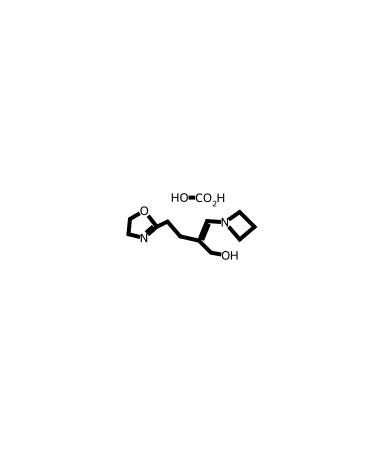 O=C(O)O.OCC(=CN1CCC1)CCC1=NCCO1